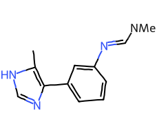 CN/C=N/c1cccc(-c2nc[nH]c2C)c1